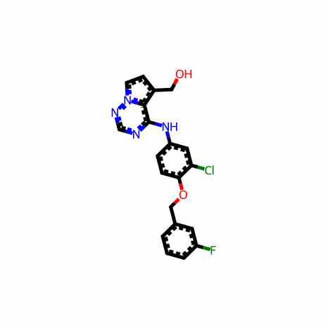 OCc1ccn2ncnc(Nc3ccc(OCc4cccc(F)c4)c(Cl)c3)c12